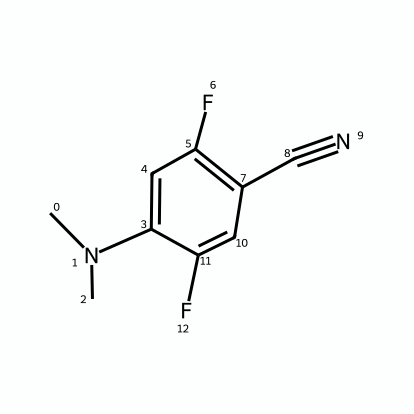 CN(C)c1cc(F)c(C#N)cc1F